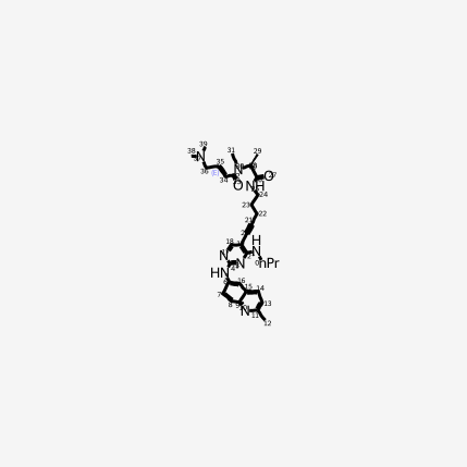 CCCNc1nc(Nc2ccc3nc(C)ccc3c2)ncc1C#CCCCNC(=O)[C@H](C)N(C)C(=O)/C=C/CN(C)C